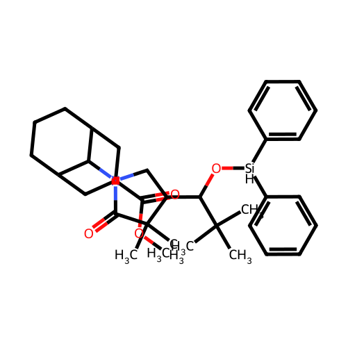 COC(=O)C1CC2CCCC(C1)C2N1CC(C(O[SiH](c2ccccc2)c2ccccc2)C(C)(C)C)C(C)(C)C1=O